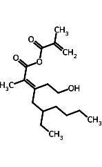 C=C(C)C(=O)OC(=O)C(C)=C(CCO)CC(CC)CCCC